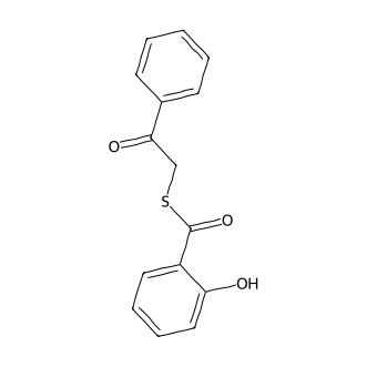 O=C(CSC(=O)c1ccccc1O)c1ccccc1